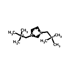 C[N+](C)(C)Cn1cc[n+](C[N+](C)(C)C)c1